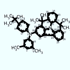 Cc1cc(C)cc(N(c2ccc(C(C)(C)C)cc2)c2cc3c4c(c2)c2cccc5c2n4-c2c(cccc2C3(C)C)C5(C)C)c1